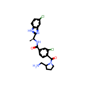 C[C@H](NC(=O)c1ccc(C(=O)N2CCCC2CN)c(Cl)c1)c1nc2cc(Cl)ccc2[nH]1